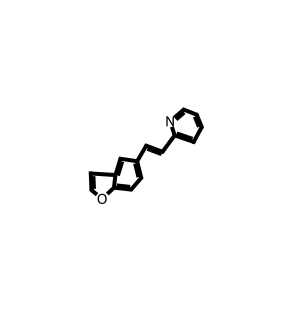 C(=C\c1ccccn1)/c1ccc2occc2c1